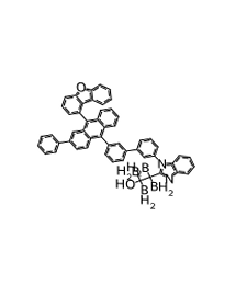 BC(B)(O)C(B)(B)c1nc2ccccc2n1-c1cccc(-c2cccc(-c3c4ccccc4c(-c4cccc5oc6ccccc6c45)c4cc(-c5ccccc5)ccc34)c2)c1